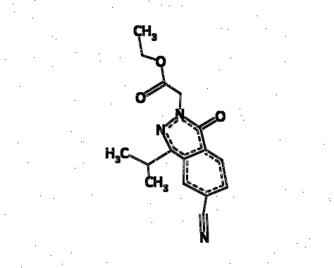 CCOC(=O)Cn1nc(C(C)C)c2cc(C#N)ccc2c1=O